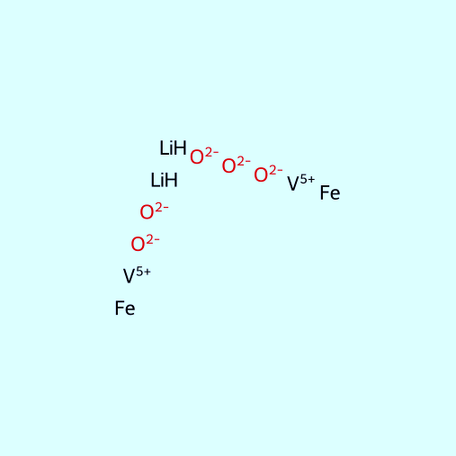 [Fe].[Fe].[LiH].[LiH].[O-2].[O-2].[O-2].[O-2].[O-2].[V+5].[V+5]